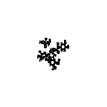 COc1ccc(C23CCC(NC(=O)Nc4ccc(F)c(F)c4)CC2N(CC(C)C(F)(F)F)CC3)cc1OC.O=C(O)C(F)(F)F